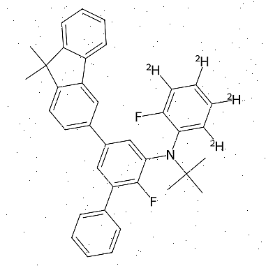 [2H]c1c([2H])c([2H])c(N(c2cc(-c3ccc4c(c3)-c3ccccc3C4(C)C)cc(-c3ccccc3)c2F)C(C)(C)C)c(F)c1[2H]